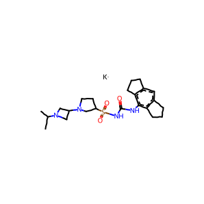 CC(C)N1CC(N2CCC(S(=O)(=O)NC(=O)Nc3c4c(cc5c3CCC5)CCC4)C2)C1.[K]